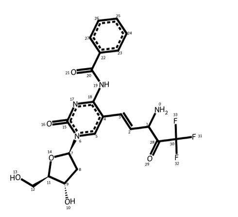 NC(C=Cc1cn([C@H]2C[C@H](O)[C@@H](CO)O2)c(=O)nc1NC(=O)c1ccccc1)C(=O)C(F)(F)F